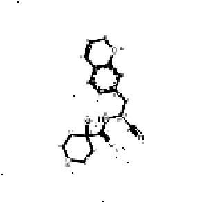 N#C[C@H](Cc1ccc2c(c1)OCC=C2)NC(=O)C1(N)CCOCC1